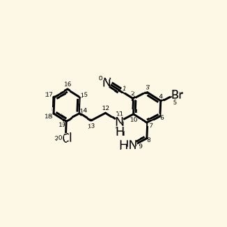 N#Cc1cc(Br)cc(C=N)c1NCCc1ccccc1Cl